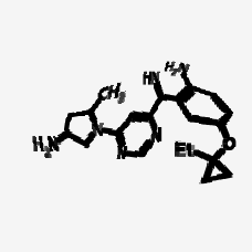 CCC1(Oc2ccc(N)c(C(=N)c3cc(N4CC(N)CC4C)ncn3)c2)CC1